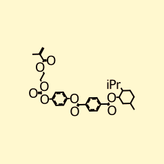 C=C(C)C(=O)OCCOC(=O)Oc1ccc(OC(=O)c2ccc(C(=O)OC3CC(C)CCC3C(C)C)cc2)cc1